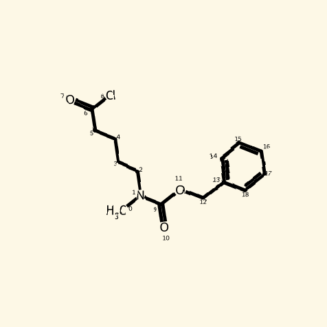 CN(CCCCC(=O)Cl)C(=O)OCc1ccccc1